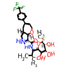 CSC1O[C@H]([C@H](NC(=O)[C@H]2NC[C@@H]3CC(c4ccc(C(F)(F)F)cc4)=CCO[C@H]32)C(C)C)C(O)C(O)[C@H]1O